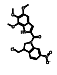 COc1cc2cc(C(=O)N3CC(CCl)c4ccc([N+](=O)[O-])cc43)[nH]c2c(OC)c1OC